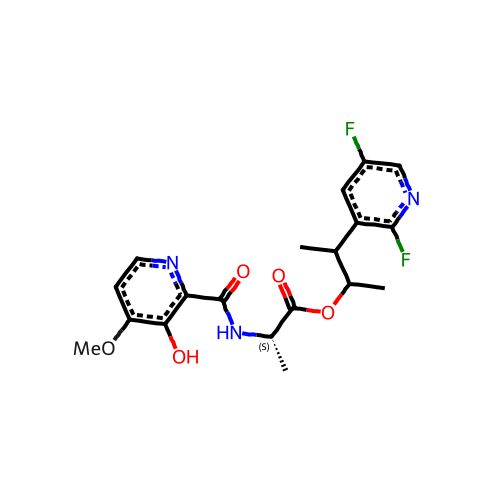 COc1ccnc(C(=O)N[C@@H](C)C(=O)OC(C)C(C)c2cc(F)cnc2F)c1O